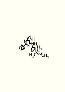 COCC(C)(C)n1cc(Nc2nc(-c3ccoc3)nc3cn[nH]c23)cn1